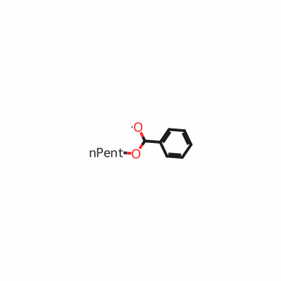 CCCCCOC([O])c1ccccc1